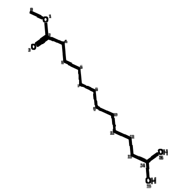 COC(=O)CCCCCCCCCCC(O)O